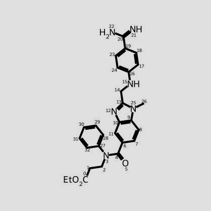 CCOC(=O)CCN(C(=O)c1ccc2c(c1)nc(CNc1ccc(C(=N)N)cc1)n2C)c1ccccc1